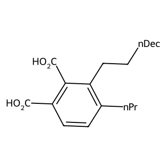 CCCCCCCCCCCCc1c(CCC)ccc(C(=O)O)c1C(=O)O